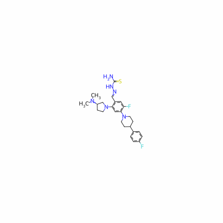 CN(C)[C@@H]1CCN(c2cc(N3CCC(c4ccc(F)cc4)CC3)c(F)cc2/C=N/NC(N)=S)C1